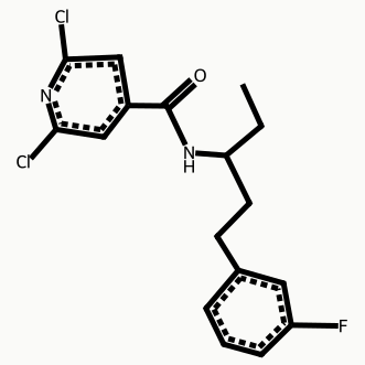 CCC(CCc1cccc(F)c1)NC(=O)c1cc(Cl)nc(Cl)c1